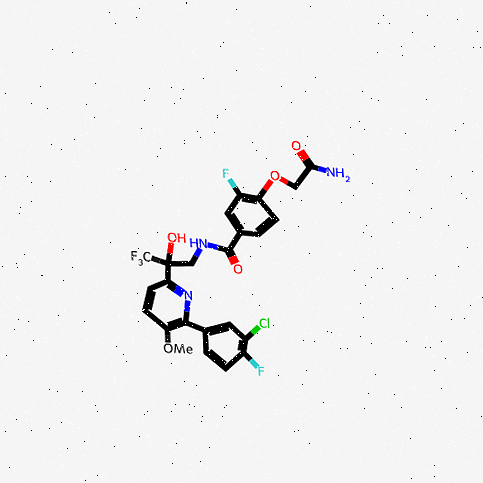 COc1ccc(C(O)(CNC(=O)c2ccc(OCC(N)=O)c(F)c2)C(F)(F)F)nc1-c1ccc(F)c(Cl)c1